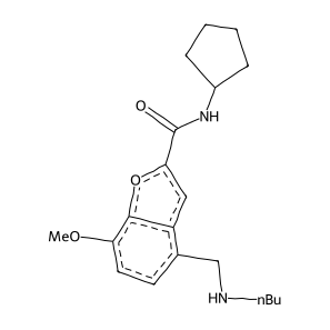 CCCCNCc1ccc(OC)c2oc(C(=O)NC3CCCC3)cc12